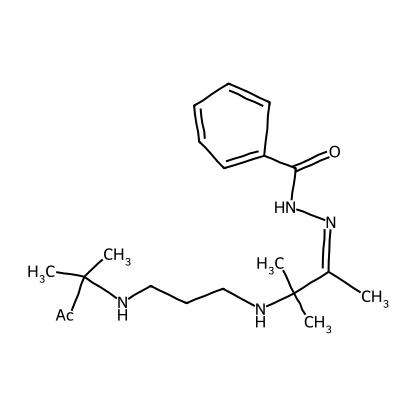 CC(=O)C(C)(C)NCCCNC(C)(C)C(C)=NNC(=O)c1ccccc1